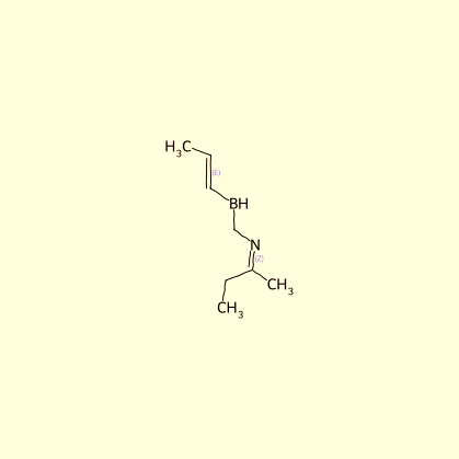 C/C=C/BC/N=C(/C)CC